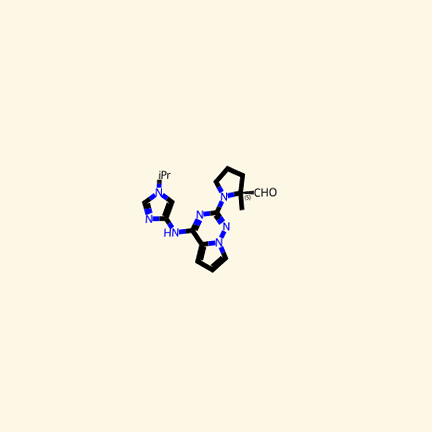 CC(C)n1cnc(Nc2nc(N3CCC[C@@]3(C)C=O)nn3cccc23)c1